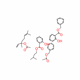 C=CC(C)(CCC=C(C)C)OC(C)=O.CC(=O)OCc1ccccc1.CC(C)CCOC(=O)c1ccccc1O.O=C(OCc1ccccc1)c1ccccc1O